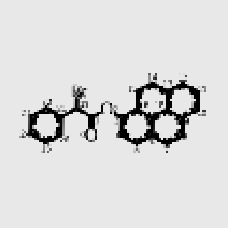 O=C(Oc1ccc2ccc3cccc4ccc1c2c34)C(Br)c1ccccc1